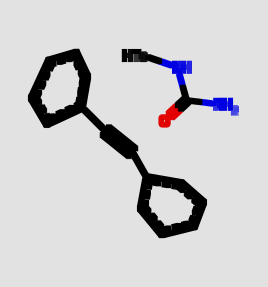 C(#Cc1ccccc1)c1ccccc1.NC(=O)N[TeH]